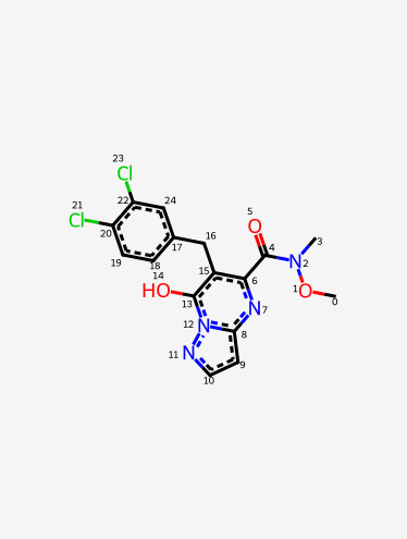 CON(C)C(=O)c1nc2ccnn2c(O)c1Cc1ccc(Cl)c(Cl)c1